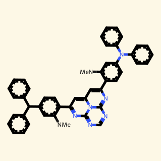 CNc1cc(N(c2ccccc2)c2ccccc2)ccc1C1=CC2=CC(c3ccc(C(c4ccccc4)c4ccccc4)cc3NC)=NC3=NC=NC(=N1)N23